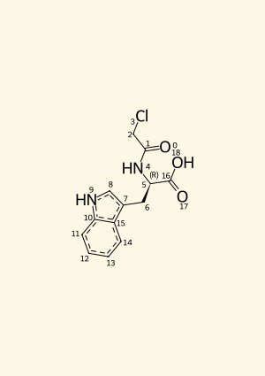 O=C(CCl)N[C@H](Cc1c[nH]c2ccccc12)C(=O)O